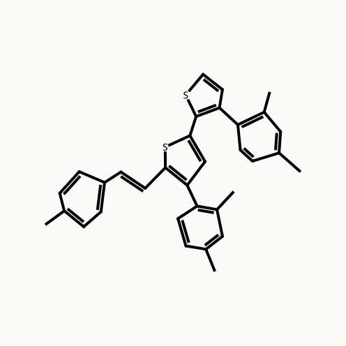 Cc1ccc(/C=C/c2sc(-c3sccc3-c3ccc(C)cc3C)cc2-c2ccc(C)cc2C)cc1